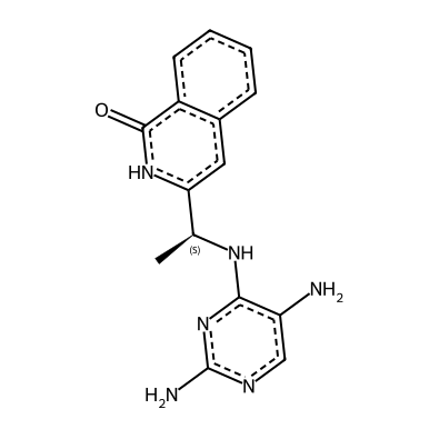 C[C@H](Nc1nc(N)ncc1N)c1cc2ccccc2c(=O)[nH]1